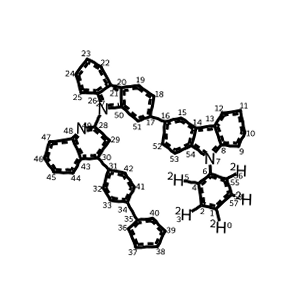 [2H]c1c([2H])c([2H])c(-n2c3ccccc3c3cc(-c4ccc5c6ccccc6n(-c6cc(-c7ccc(-c8ccccc8)cc7)c7ccccc7n6)c5c4)ccc32)c([2H])c1[2H]